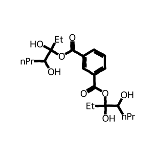 CCCC(O)C(O)(CC)OC(=O)c1cccc(C(=O)OC(O)(CC)C(O)CCC)c1